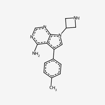 Cc1ccc(-c2cn(C3CNC3)c3ncnc(N)c23)cc1